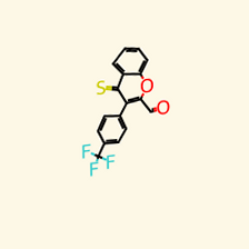 O=Cc1oc2ccccc2c(=S)c1-c1ccc(C(F)(F)F)cc1